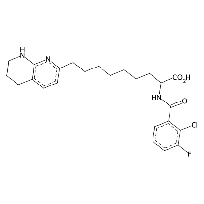 O=C(NC(CCCCCCCc1ccc2c(n1)NCCC2)C(=O)O)c1cccc(F)c1Cl